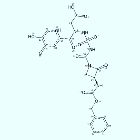 O=C(O)CN(NS(=O)(=O)NC(=O)N1C[C@H](NC(=O)OCc2ccccc2)C1=O)C(=O)c1cc(=O)c(O)c[nH]1